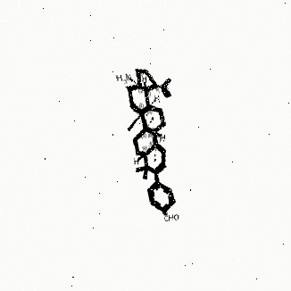 C=C(C)[C@@H]1CC[C@]2(N)CC[C@]3(C)[C@H](CC[C@@H]4[C@@]5(C)CC=C(c6ccc(C=O)cc6)C(C)(C)[C@@H]5CC[C@]43C)[C@@H]12